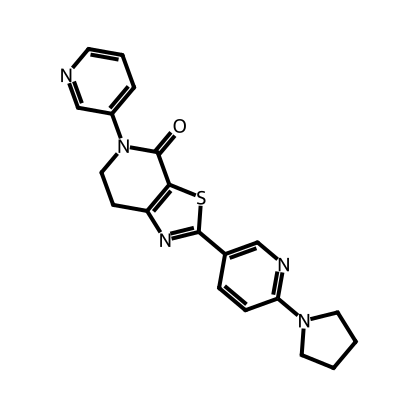 O=C1c2sc(-c3ccc(N4CCCC4)nc3)nc2CCN1c1cccnc1